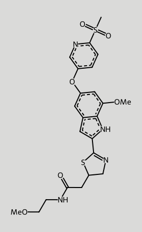 COCCNC(=O)CC1CN=C(c2cc3cc(Oc4ccc(S(C)(=O)=O)nc4)cc(OC)c3[nH]2)S1